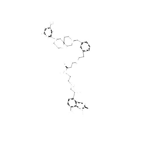 CN(CCNC[C@H](O)c1ccc(O)c2[nH]c(=O)sc12)C(=O)CCOCCc1cccc(CN2CCC3(CC2)CN(c2cc(C(F)(F)F)ccn2)CCO3)c1